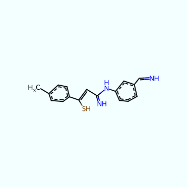 Cc1ccc(/C(S)=C/C(=N)Nc2cccc(C=N)c2)cc1